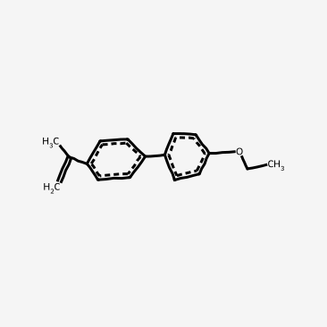 C=C(C)c1ccc(-c2ccc(OCC)cc2)cc1